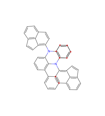 C1=Cc2c(N(c3ccccc3)c3cccc(-c4ccccc4)c3N(c3ccccc3)c3ccc4cccc5c4c3C=C5)ccc3cccc1c23